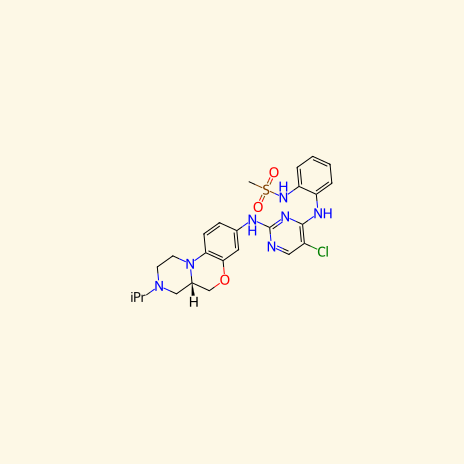 CC(C)N1CCN2c3ccc(Nc4ncc(Cl)c(Nc5ccccc5NS(C)(=O)=O)n4)cc3OC[C@@H]2C1